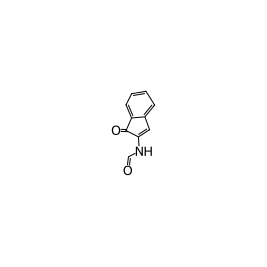 O=CNC1=Cc2ccccc2C1=O